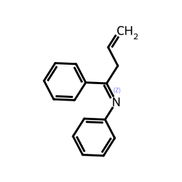 C=CC/C(=N/c1ccccc1)c1ccccc1